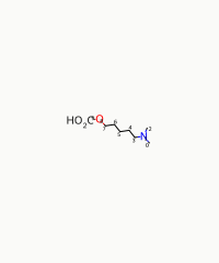 CN(C)CCCCCOC(=O)O